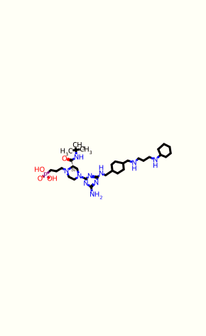 CC(C)(C)NC(=O)[C@@H]1CN(c2nc(N)nc(NCC3CCC(CNCCCNC4CCCCC4)CC3)n2)CCN1CCCP(=O)(O)O